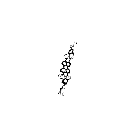 CC(=O)COc1cc(C)c(N2C(=O)c3ccc4c5ccc6c7c(ccc(c8ccc(c3c48)C2=O)c75)C(=O)N(c2c(C)cc(OCC(C)=O)cc2C)C6=O)c(C)c1